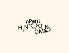 CCCCCC(N)c1ccc(OCc2ccccn2)c(OC)c1